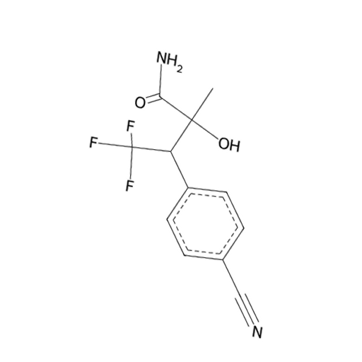 CC(O)(C(N)=O)C(c1ccc(C#N)cc1)C(F)(F)F